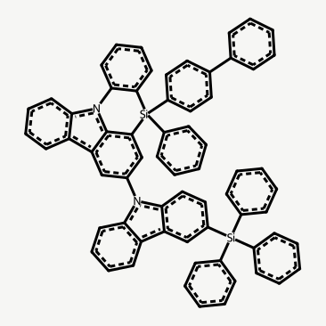 c1ccc(-c2ccc([Si]3(c4ccccc4)c4ccccc4-n4c5ccccc5c5cc(-n6c7ccccc7c7cc([Si](c8ccccc8)(c8ccccc8)c8ccccc8)ccc76)cc3c54)cc2)cc1